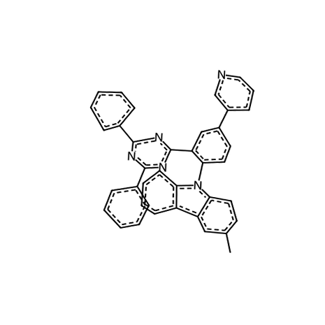 Cc1ccc2c(c1)c1ccccc1n2-c1ccc(-c2cccnc2)cc1-c1nc(-c2ccccc2)nc(-c2ccccc2)n1